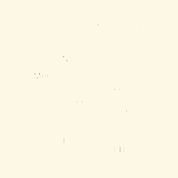 CON=C(C(=O)CCl)C(=O)OC(C)[S+](C)[O-]